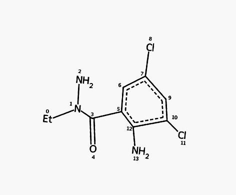 CCN(N)C(=O)c1cc(Cl)cc(Cl)c1N